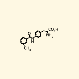 Cc1cccc(C(=O)Nc2ccc(C[C@H](N)C(=O)O)cc2)c1